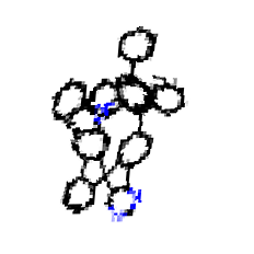 Cc1ccc(-n2c3ccccc3c3cc4c(cc32)C2(c3ccccc3-4)c3cc(-c4c5ccccc5c(-c5ccccc5)c5ccccc45)ccc3-c3ncncc32)cc1